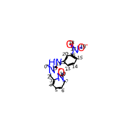 CN(Cc1ccccn1)C(=O)Nc1cccc([N+](=O)[O-])c1